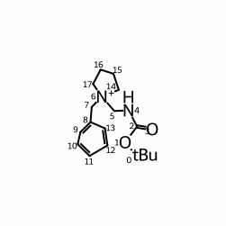 CC(C)(C)OC(=O)NC[N+]1(Cc2ccccc2)CCCC1